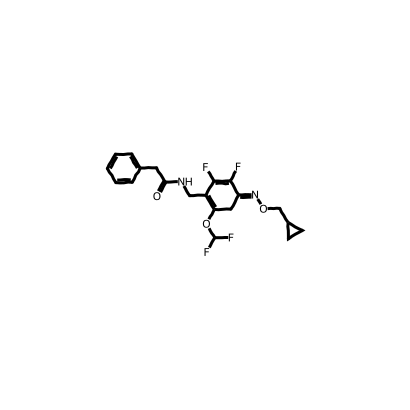 O=C(Cc1ccccc1)NCC1=C(OC(F)F)C/C(=N\OCC2CC2)C(F)=C1F